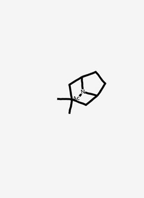 CC(=O)N1C2CCC1CC(C)(C)C2